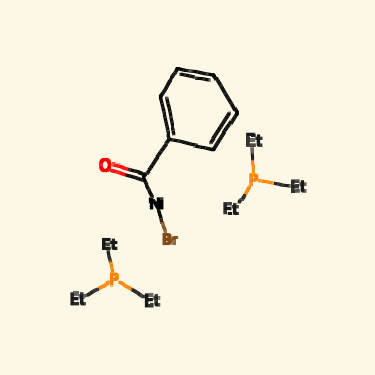 CCP(CC)CC.CCP(CC)CC.O=[C]([Ni][Br])c1ccccc1